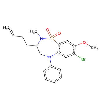 C=CCCC1CN(c2ccccc2)c2cc(Br)c(OC)cc2S(=O)(=O)N1C